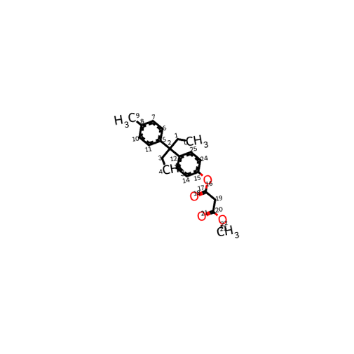 CCC(CC)(c1ccc(C)cc1)c1ccc(OC(=O)CC(=O)OC)cc1